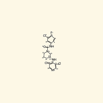 O=C(Nc1ccc(F)c(Cl)c1)N1CCC[C@@H](Nc2c(Cl)cncc2Cl)C1